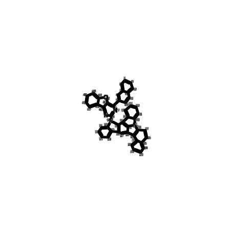 c1ccc2cc(-c3nc(-n4c5ccccc5c5cc6c7c8ccccc8ccc7n7c8ccccc8c(c54)c67)nc4c3oc3ccccc34)ccc2c1